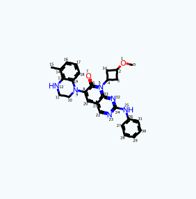 COC1CC(n2c(=O)c(N3CCNc4c(C)cccc43)cc3cnc(Nc4ccccc4)nc32)C1